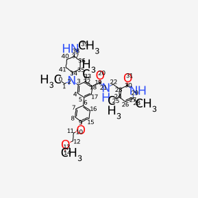 CCN(c1cc(-c2ccc(OCCOC)cc2)cc(C(=O)NCc2c(C)cc(C)[nH]c2=O)c1C)C1CCC(NC)CC1